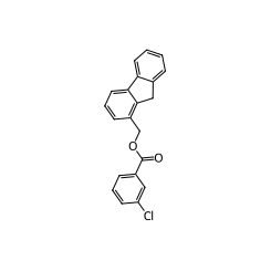 O=C(OCc1cccc2c1Cc1ccccc1-2)c1cccc(Cl)c1